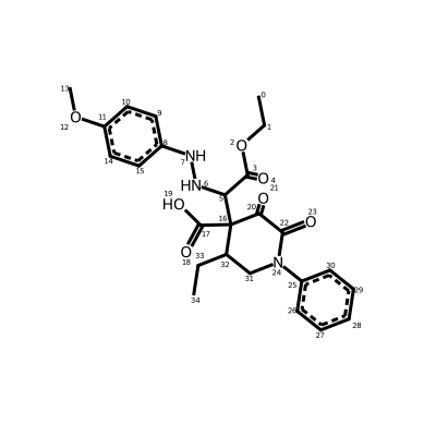 CCOC(=O)C(NNc1ccc(OC)cc1)C1(C(=O)O)C(=O)C(=O)N(c2ccccc2)CC1CC